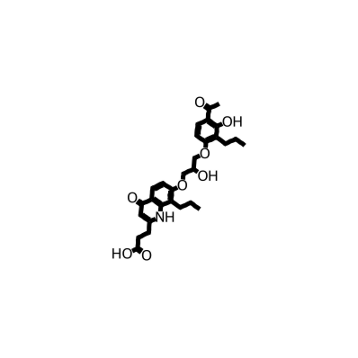 CCCc1c(OCC(O)COc2ccc3c(=O)cc(CCC(=O)O)[nH]c3c2CCC)ccc(C(C)=O)c1O